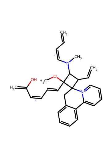 C=C/C=C\N(C)C1C(C=C)C2(Cc3ccccc3-c3cccc[n+]32)C1(C=C/C=C\C(=C)O)OC